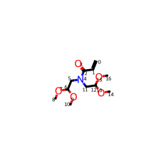 C=CC(=O)N(CC(OC)OC)CC(OC)OC